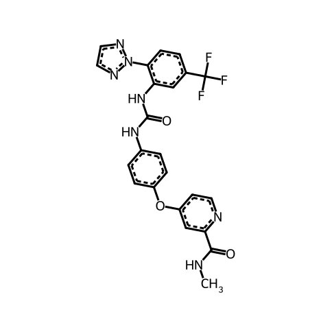 CNC(=O)c1cc(Oc2ccc(NC(=O)Nc3cc(C(F)(F)F)ccc3-n3nccn3)cc2)ccn1